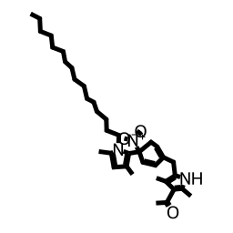 CCCCCCCCCCCCCCCCn1c(C)cc(C)c1C1([N+](=O)[O-])C=CC(Cc2[nH]c(C)c(C(C)=O)c2C)=CC1